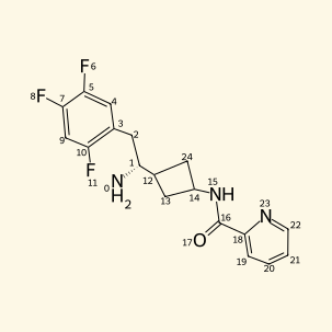 N[C@H](Cc1cc(F)c(F)cc1F)C1CC(NC(=O)c2ccccn2)C1